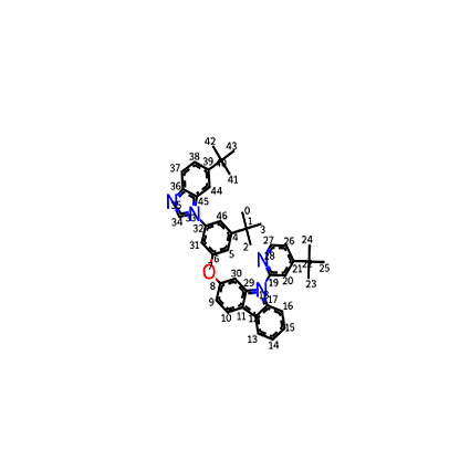 CC(C)(C)c1cc(Oc2ccc3c4ccccc4n(-c4cc(C(C)(C)C)ccn4)c3c2)cc(-n2cnc3ccc(C(C)(C)C)cc32)c1